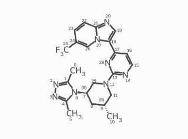 Cc1nnc(C)n1[C@@H]1C[C@@H](C)CN(c2nccc(-c3cnc4ccc(C(F)(F)F)cn34)n2)C1